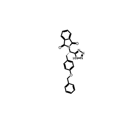 O=C1c2ccccc2C(=O)N1[C@@H](Cc1ccc(OCc2ccccc2)cc1)c1nnn[nH]1